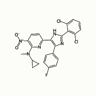 CN(c1nc(-c2[nH]c(-c3c(Cl)cccc3Cl)nc2-c2ccc(F)cc2)ccc1[N+](=O)[O-])C1CC1